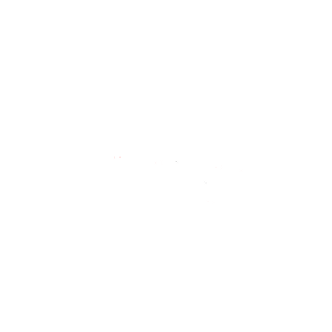 COc1ccccc1OC(=O)CC(=O)Oc1ccccc1OC